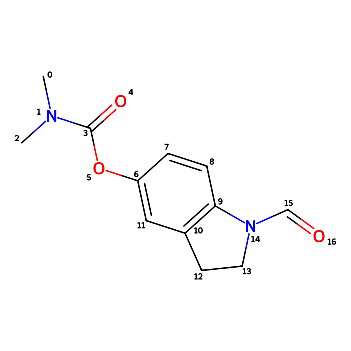 CN(C)C(=O)Oc1ccc2c(c1)CCN2C=O